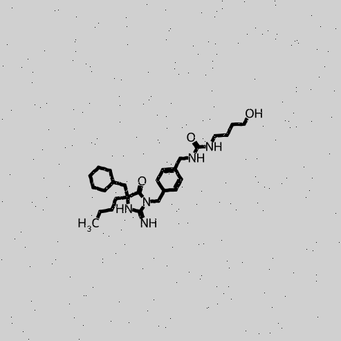 CCCCC1(CC2CCCCC2)NC(=N)N(CC2C=CC(CNC(=O)NCCCCO)=CC2)C1=O